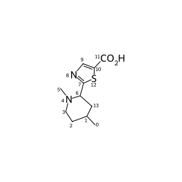 CC1CCN(C)C(c2ncc(C(=O)O)s2)C1